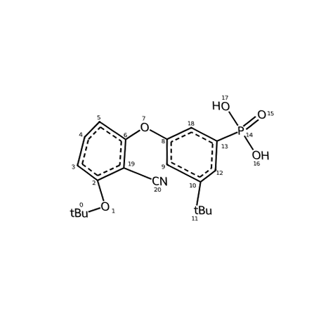 CC(C)(C)Oc1cccc(Oc2cc(C(C)(C)C)cc(P(=O)(O)O)c2)c1C#N